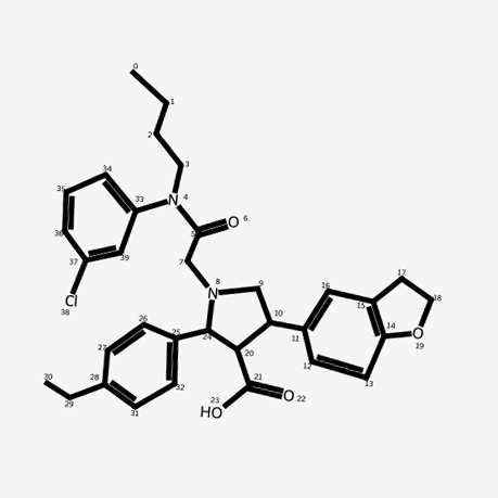 CCCCN(C(=O)CN1CC(c2ccc3c(c2)CCO3)C(C(=O)O)C1c1ccc(CC)cc1)c1cccc(Cl)c1